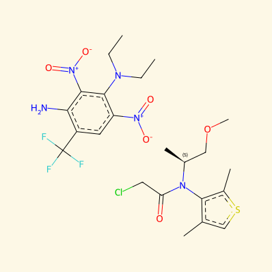 CCN(CC)c1c([N+](=O)[O-])cc(C(F)(F)F)c(N)c1[N+](=O)[O-].COC[C@H](C)N(C(=O)CCl)c1c(C)csc1C